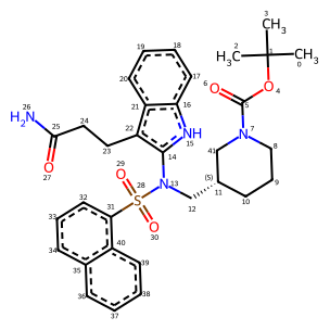 CC(C)(C)OC(=O)N1CCC[C@H](CN(c2[nH]c3ccccc3c2CCC(N)=O)S(=O)(=O)c2cccc3ccccc23)C1